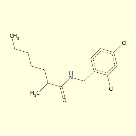 CCCCCC(C)C(=O)NCc1ccc(Cl)cc1Cl